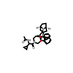 CC(=O)NC(C(=O)N1CCC(CCN2[C@@H]3CC[C@H]2CC(n2c(C)nc4ccccc42)C3)(c2ccccc2)CC1)C1CC1